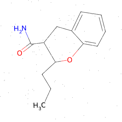 CCCC1Oc2ccccc2CC1C(N)=O